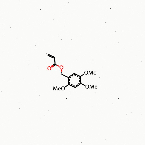 C=CC(=O)OCc1cc(OC)c(OC)cc1OC